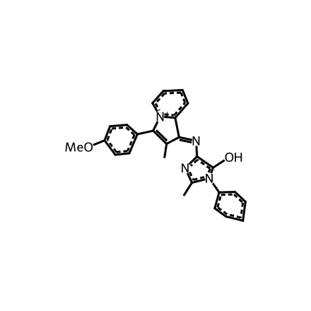 COc1ccc(C2=C(C)/C(=N\c3nc(C)n(-c4ccccc4)c3O)c3cccc[n+]32)cc1